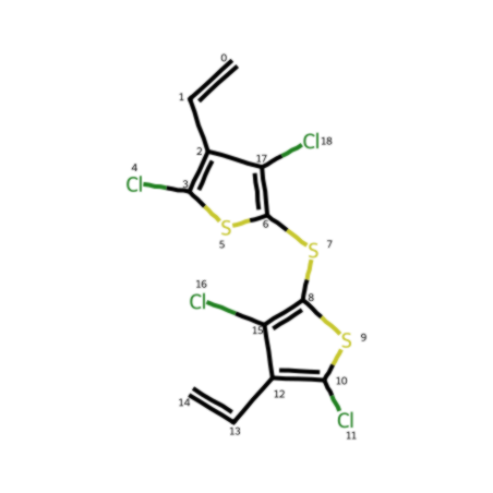 C=Cc1c(Cl)sc(Sc2sc(Cl)c(C=C)c2Cl)c1Cl